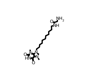 CN1CN(CCCCCCCCCCCNC(=O)CN)c2c1c(=O)[nH]c(=O)n2C